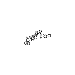 Cc1cnc(Nc2ccc3c(c2)OCO3)nc1-n1cnc(C(=O)NCc2cccc(Cl)c2)c1